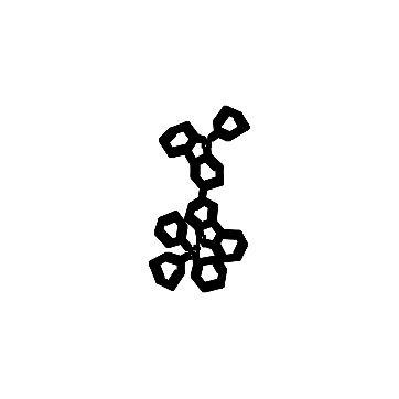 c1ccc(-n2c3ccccc3c3cc(-c4ccc5c(c4)c4ccccc4n5[Si](c4ccccc4)(c4ccccc4)c4ccccc4)ccc32)cc1